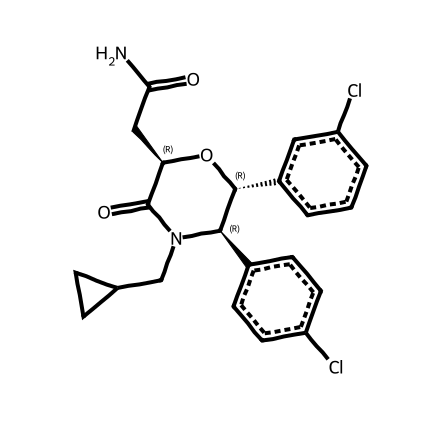 NC(=O)C[C@H]1O[C@H](c2cccc(Cl)c2)[C@@H](c2ccc(Cl)cc2)N(CC2CC2)C1=O